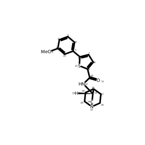 COc1cccc(-c2ccc(C(=O)N[C@H]3CN4CCC3CC4)s2)c1